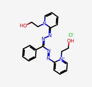 OCCn1ccccc1=NN=C(N=Nc1cccc[n+]1CCO)c1ccccc1.[Cl-]